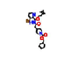 C[Si](C)(C)CCOC(NC(=O)CC1=CCN(C(=O)OCc2ccccc2)CC1)c1ncccc1Br